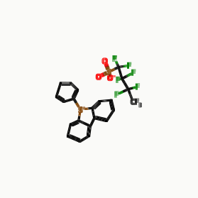 O=S(=O)([O-])C(F)(F)C(F)(F)C(F)(F)C(F)(F)F.c1ccc(-[s+]2c3ccccc3c3ccccc32)cc1